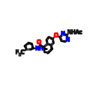 CC(=O)Nc1nccc(Oc2ccc3c(C(=O)Nc4cccc(C(F)(F)F)c4)cccc3c2)n1